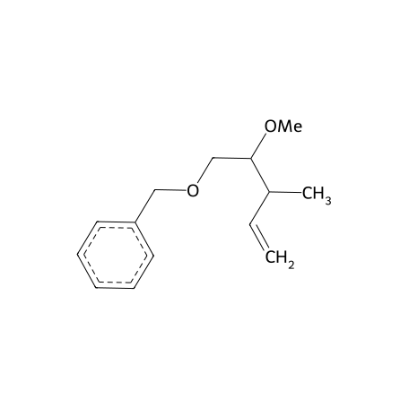 C=CC(C)C(COCc1ccccc1)OC